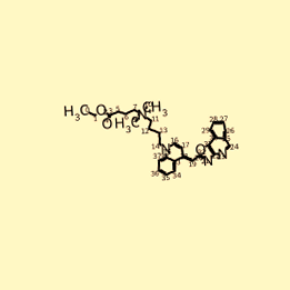 CCOC(=O)CCC[N+](C)(C)CCCCN1C=CC(=Cc2nc3ncc4ccccc4c3o2)c2ccccc21